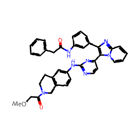 COCC(=O)N1CCc2cc(Nc3nccc(-c4c(-c5cccc(NC(=O)Cc6ccccc6)c5)nc5ccccn45)n3)ccc2C1